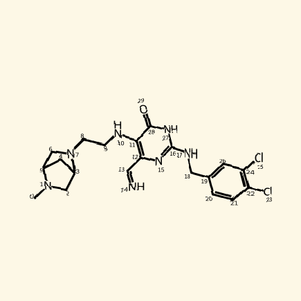 CN1CC2CC1CN2CCNc1c(C=N)nc(NCc2ccc(Cl)c(Cl)c2)[nH]c1=O